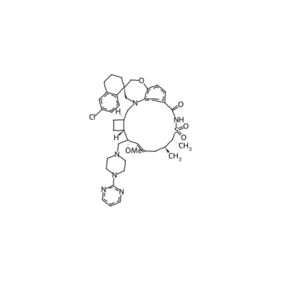 CO[C@@]1(CN2CCN(c3ncccn3)CC2)/C=C/C[C@H](C)[C@@H](C)S(=O)(=O)NC(=O)c2ccc3c(c2)N(C[C@@H]2CC[C@H]21)C[C@@]1(CCCc2cc(Cl)ccc21)CO3